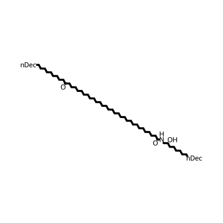 CCCCCCCCCCCCCCCCCCCC(=O)CCCCCCCCCCCCCCCCCCCCCCCCCCCCCC(=O)NCC(O)CCCCCCCCCCCCCCCC